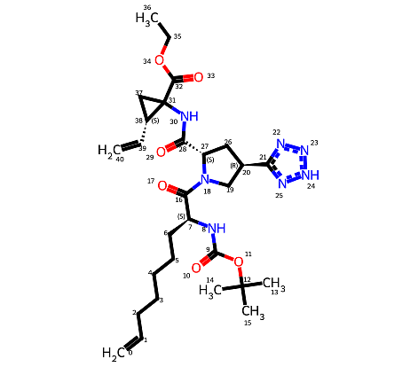 C=CCCCCC[C@H](NC(=O)OC(C)(C)C)C(=O)N1C[C@H](c2nn[nH]n2)C[C@H]1C(=O)NC1(C(=O)OCC)C[C@H]1C=C